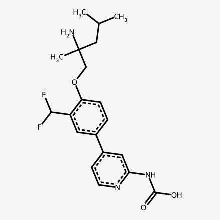 CC(C)CC(C)(N)COc1ccc(-c2ccnc(NC(=O)O)c2)cc1C(F)F